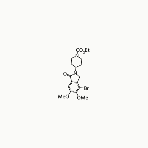 CCOC(=O)N1CCC(N2Cc3c(cc(OC)c(OC)c3Br)C2=O)CC1